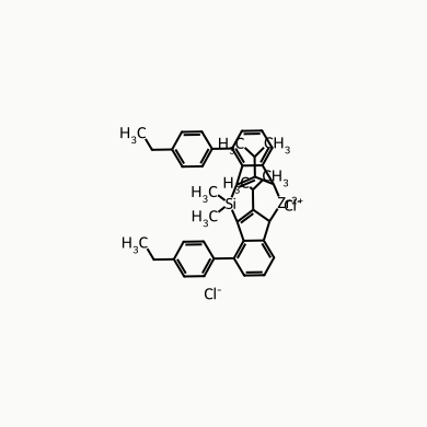 CCc1ccc(-c2cccc3c2C2=C(C(C)C)[CH]3[Zr+2][CH]3C(C(C)C)=C(c4c(-c5ccc(CC)cc5)cccc43)[Si]2(C)C)cc1.[Cl-].[Cl-]